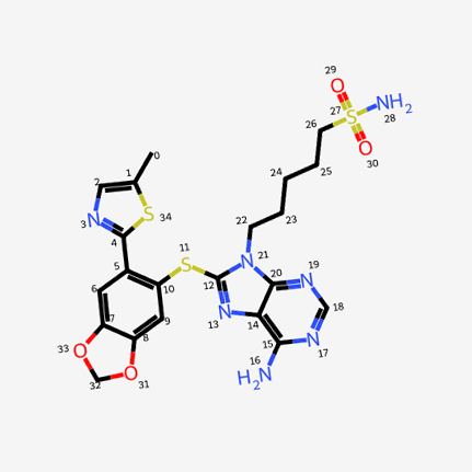 Cc1cnc(-c2cc3c(cc2Sc2nc4c(N)ncnc4n2CCCCCS(N)(=O)=O)OCO3)s1